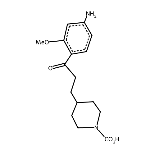 COc1cc(N)ccc1C(=O)CCC1CCN(C(=O)O)CC1